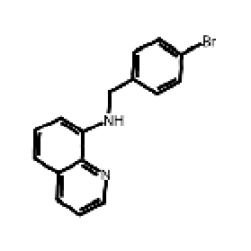 Brc1ccc(CNc2cccc3cccnc23)cc1